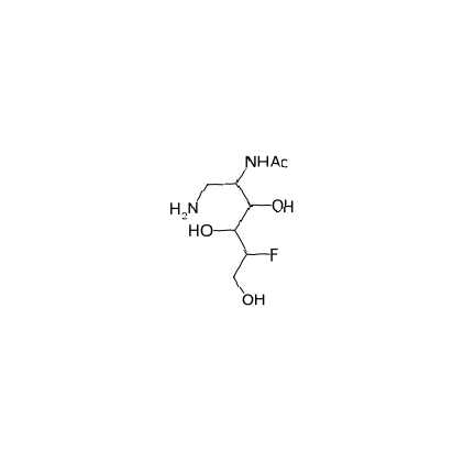 CC(=O)NC(CN)C(O)C(O)C(F)CO